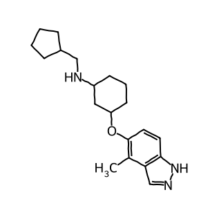 Cc1c(OC2CCCC(NCC3CCCC3)C2)ccc2[nH]ncc12